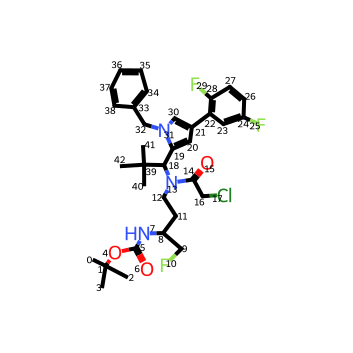 CC(C)(C)OC(=O)NC(CF)CCN(C(=O)CCl)C(c1cc(-c2cc(F)ccc2F)cn1Cc1ccccc1)C(C)(C)C